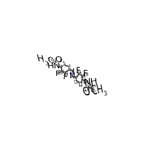 CC(=O)Nc1ccc(/N=N/c2ccc(NC(C)=O)c(F)c2F)c(F)c1F